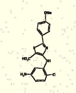 COc1ccc(-c2nc(Nc3cc(N)ccc3Cl)c(C(=O)O)s2)cc1